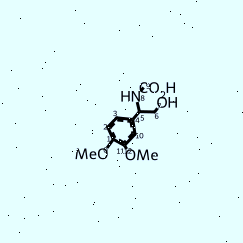 COc1ccc(C(CO)NC(=O)O)cc1OC